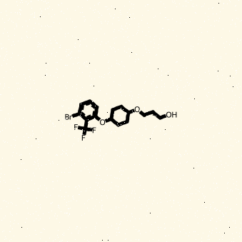 OCCCOC1CCC(Oc2cccc(Br)c2C(F)(F)F)CC1